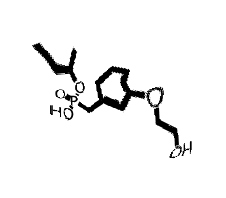 CCC(C)OP(=O)(O)Cc1cccc(OCCO)c1